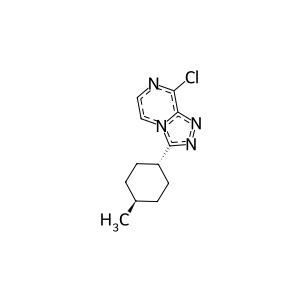 C[C@H]1CC[C@H](c2nnc3c(Cl)nccn32)CC1